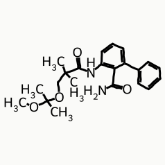 COC(C)(C)OCC(C)(C)C(=O)Nc1cccc(-c2ccccc2)c1C(N)=O